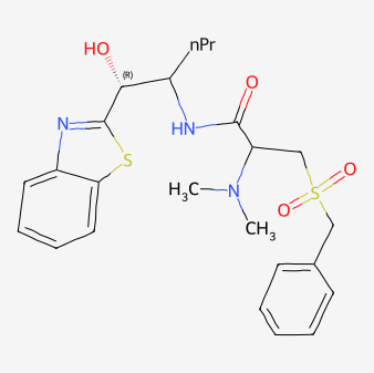 CCCC(NC(=O)C(CS(=O)(=O)Cc1ccccc1)N(C)C)[C@@H](O)c1nc2ccccc2s1